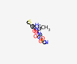 CC(C)CC(NC(=O)c1ccc(-c2cccs2)cc1)C(=O)N1CCC2C1C(=O)CN2S(=O)(=O)c1cccnc1